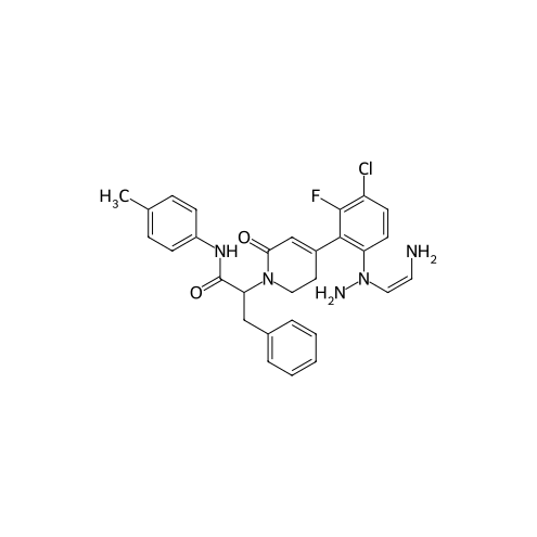 Cc1ccc(NC(=O)C(Cc2ccccc2)N2CCC(c3c(N(N)/C=C\N)ccc(Cl)c3F)=CC2=O)cc1